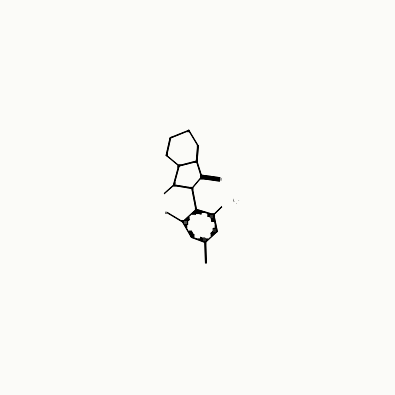 COc1cc(C)cc(Cl)c1C1C(=O)C2CCCCC2C1O